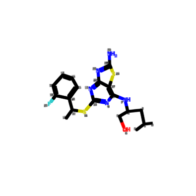 CC(C)CC(CO)Nc1nc(SC(C)c2ccccc2F)nc2nc(N)sc12